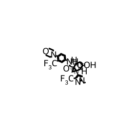 Cn1cc([C@@]23C[C@]2(C(=O)Nc2ccc(N4CCOCC4)c(C(F)(F)F)c2)[C@H]2C[C@H](O)[C@@H]3O2)c(C(F)(F)F)n1